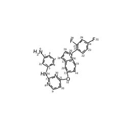 Nc1cccc(Nc2nccc(Oc3ccc4c(ccn4-c4ccc(F)cc4F)c3)n2)c1